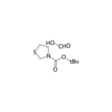 CC(C)(C)OC(=O)N1CCSC1.O=CO